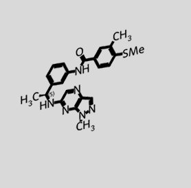 CSc1ccc(C(=O)Nc2cccc([C@H](C)Nc3cnc4cnn(C)c4n3)c2)cc1C